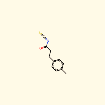 Cc1ccc(CCC(=O)N=C=S)cc1